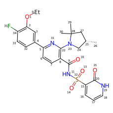 CCOc1cc(-c2ccc(C(=O)NS(=O)(=O)c3ccc[nH]c3=O)c(N3C[C@@H](C)CC3(C)C)n2)ccc1F